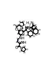 C[C@H](Oc1cc(N/C=C\C(=N)C(=O)N2CCCC2)nc(C(=N)[C@@H]2CCC[C@@]3(CCCc4sc(N)c(C#N)c43)C2O)n1)[C@@H]1CCCN1C